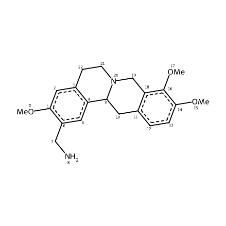 COc1cc2c(cc1CN)C1Cc3ccc(OC)c(OC)c3CN1CC2